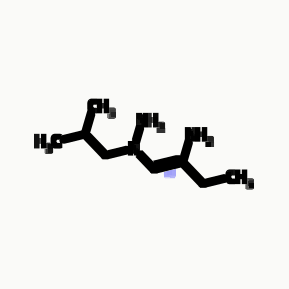 CC/C(N)=C/N(N)CC(C)C